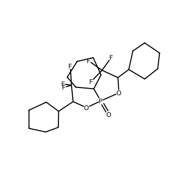 O=P(OC(C1CCCCC1)C(F)(F)F)(OC(C1CCCCC1)C(F)(F)F)C1CCCCC1